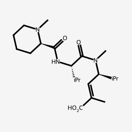 C/C(=C\[C@H](C(C)C)N(C)C(=O)[C@@H](NC(=O)[C@H]1CCCCN1C)C(C)C)C(=O)O